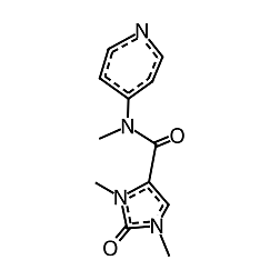 CN(C(=O)c1cn(C)c(=O)n1C)c1ccncc1